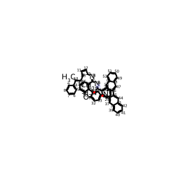 C[C@H]([C@H](C)c1ccccc1)[C@@H]1C=CC1N=C(/N=C(\N)c1ccccc1)c1cccc2oc3ccc(-n4c5cc6ccccc6cc5c5cc6ccccc6cc54)cc3c12